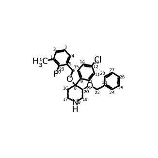 Cc1cccc(CO[C@]2(c3ccc(Cl)cc3)CCNC[C@@H]2OCc2ccccc2)c1F